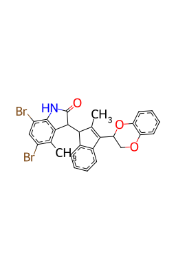 CC1=C(C2COc3ccccc3O2)c2ccccc2C1C1C(=O)Nc2c(Br)cc(Br)c(C)c21